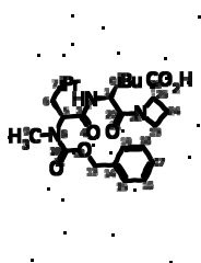 CC[C@H](C)[C@H](NC(=O)[C@H](CC(C)C)N(C)C(=O)OCc1ccccc1)C(=O)N1CC[C@H]1C(=O)O